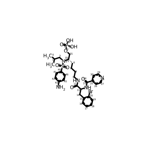 CC(C)CN([C@@H](CCCCNC(=O)C(Cc1ccccc1Br)NC(=O)c1ccncc1)COP(=O)(O)O)S(=O)(=O)c1ccc(N)cc1